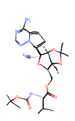 CC(C)[C@H](NC(=O)OC(C)(C)C)C(=O)OC[C@H]1O[C@@](C#N)(c2ccc3c(N)ncnn23)[C@@H]2OC(C)(C)O[C@@H]21